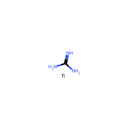 N=C(N)N.[Ti]